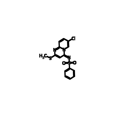 CSc1cc(=NS(=O)(=O)c2ccccc2)n2cc(Cl)ccc2n1